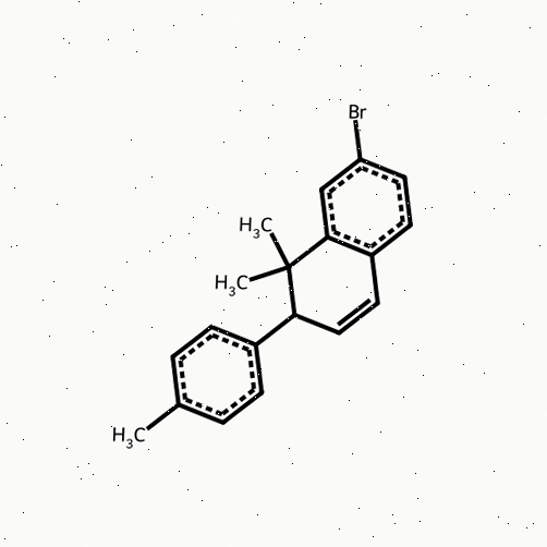 Cc1ccc(C2C=Cc3ccc(Br)cc3C2(C)C)cc1